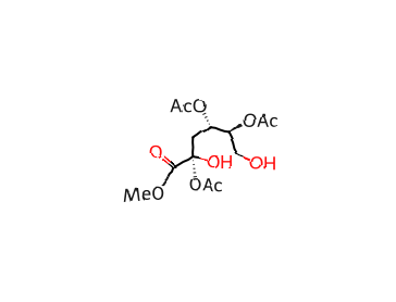 COC(=O)[C@](O)(C[C@H](OC(C)=O)[C@H](CO)OC(C)=O)OC(C)=O